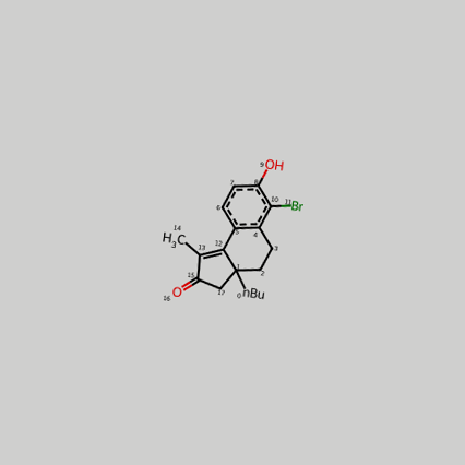 CCCCC12CCc3c(ccc(O)c3Br)C1=C(C)C(=O)C2